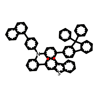 c1ccc(C2(c3ccccc3)c3ccccc3-c3ccc(-c4ccc(N(c5ccc(-c6cccc7ccccc67)cc5)c5ccccc5-c5ccc6c(c5)sc5ccccc56)cc4)cc32)cc1